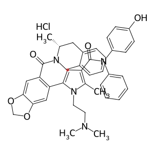 Cc1c(C(=O)N(c2ccccc2)c2ccc(O)cc2)cc(-c2cc3c(cc2C(=O)N2Cc4ccccc4C[C@H]2C)OCO3)n1CCN(C)C.Cl